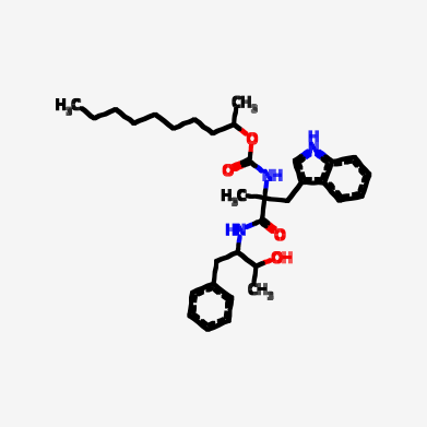 CCCCCCCCC(C)OC(=O)NC(C)(Cc1c[nH]c2ccccc12)C(=O)NC(Cc1ccccc1)C(C)O